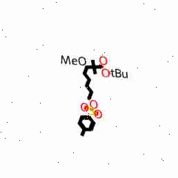 CO[C@H](CCCCCOS(=O)(=O)c1ccc(C)cc1)C(C)(C)C(=O)OC(C)(C)C